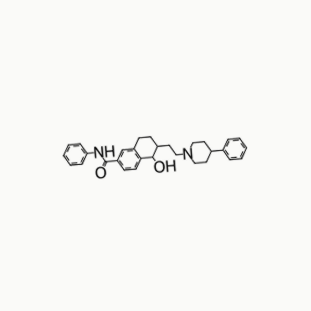 O=C(Nc1ccccc1)c1ccc2c(c1)CCC(CCN1CCC(c3ccccc3)CC1)C2O